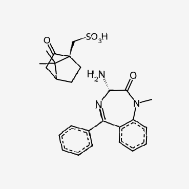 CC1(C)C2CC[C@@]1(CS(=O)(=O)O)C(=O)C2.CN1C(=O)[C@@H](N)N=C(c2ccccc2)c2ccccc21